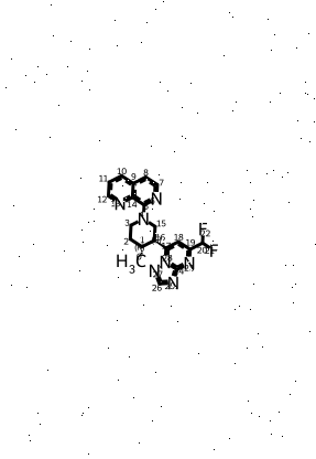 C[C@@H]1CCN(c2nccc3cccnc23)C[C@H]1c1cc(C(F)F)nc2ncnn12